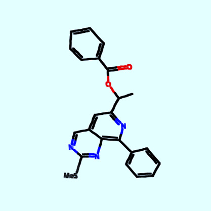 CSc1ncc2cc(C(C)OC(=O)c3ccccc3)nc(-c3ccccc3)c2n1